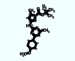 COC1CCC(c2cc(C)nc(Nc3cc(C)n(C(=O)OC(C)(C)C)n3)n2)CC1